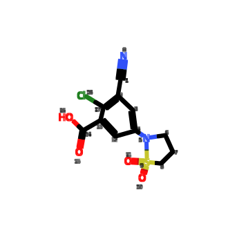 N#Cc1cc(N2CCCS2(=O)=O)cc(C(=O)O)c1Cl